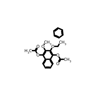 CCOc1c(OC)c(OC(C)=O)c2ccccc2c1OC(C)=O.c1ccccc1